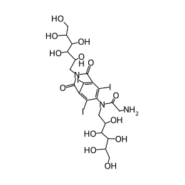 NCC(=O)N(CC(O)C(O)C(O)C(O)CO)c1c(I)c2c(I)c(c1I)C(=O)N(CC(O)C(O)C(O)C(O)CO)C2=O